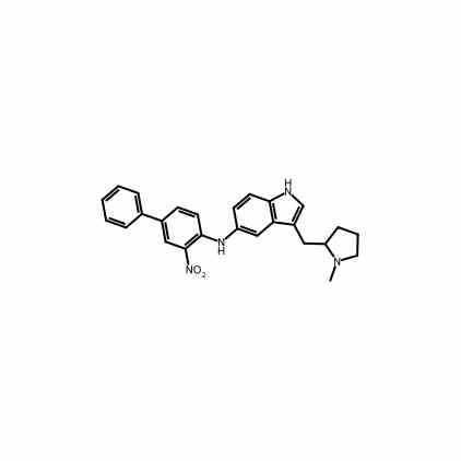 CN1CCCC1Cc1c[nH]c2ccc(Nc3ccc(-c4ccccc4)cc3[N+](=O)[O-])cc12